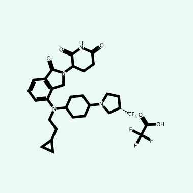 O=C(O)C(F)(F)F.O=C1CCC(N2Cc3c(cccc3N(CCC3CC3)C3CCC(N4CC[C@H](C(F)(F)F)C4)CC3)C2=O)C(=O)N1